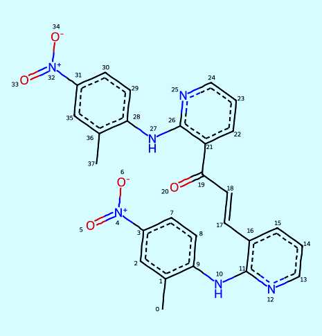 Cc1cc([N+](=O)[O-])ccc1Nc1ncccc1/C=C/C(=O)c1cccnc1Nc1ccc([N+](=O)[O-])cc1C